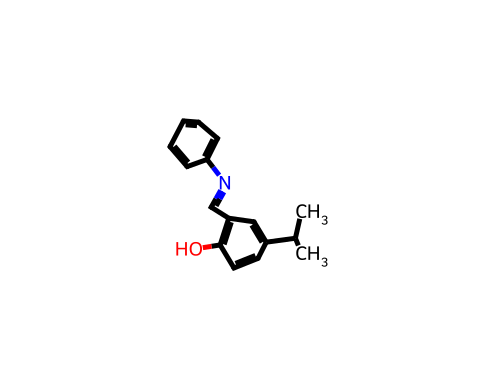 CC(C)c1ccc(O)c(C=Nc2ccccc2)c1